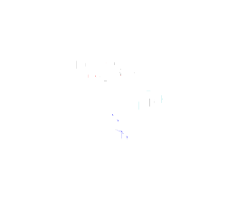 CO[Si](CCCN1C=[N+](C2CCCCC2)CC1)(OC)OC.F[B-](F)(F)F